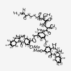 COc1cc2c(cc1OCc1cc(COc3cc4c(cc3OC)C(=O)N3c5ccccc5C[C@H]3CN4)cc(NC(=O)C(C)NC(=O)[C@H](C)NC(=O)CCCCC(=O)NN)c1)N=C[C@@H]1Cc3ccccc3N1C2=O